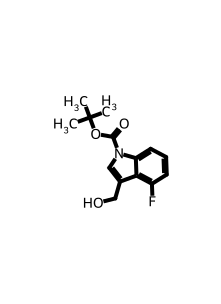 CC(C)(C)OC(=O)n1cc(CO)c2c(F)cccc21